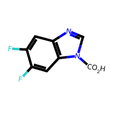 O=C(O)n1cnc2cc(F)c(F)cc21